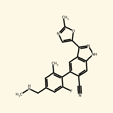 CNCc1cc(C)c(-c2cc3c(-c4cnc(C)o4)n[nH]c3cc2C#N)c(F)c1